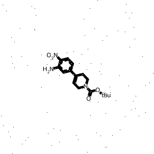 CC(C)(C)OC(=O)N1CC=C(c2ccc([N+](=O)[O-])c(N)c2)CC1